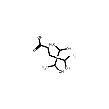 CC(O)[N+](CCC(=O)O)(C(C)O)C(C)O